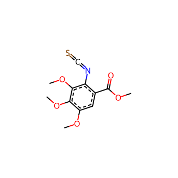 COC(=O)c1cc(OC)c(OC)c(OC)c1N=C=S